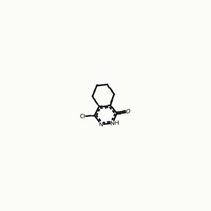 O=c1[nH]nc(Cl)c2c1CCCC2